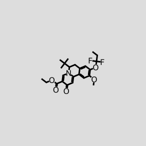 CCOC(=O)c1cn2c(cc1=O)-c1cc(OC)c(OC(F)(F)CC)cc1CC2C(C)(C)C